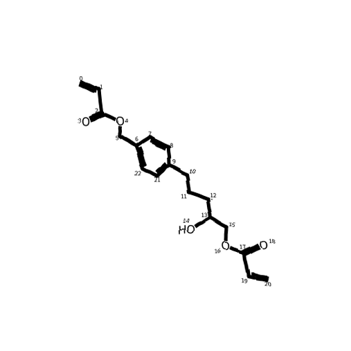 C=CC(=O)OCc1ccc(CC[CH]C(O)COC(=O)C=C)cc1